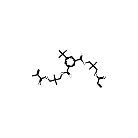 C=CC(=O)OCC(C)(C)COC(=O)c1cc(C(=O)OCC(C)(C)COC(=O)C(=C)C)cc(C(C)(C)C)c1